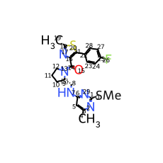 CSc1nc(C)cc(NC[C@@H]2CCCN2C(=O)c2nc(C)sc2-c2ccc(F)cc2)n1